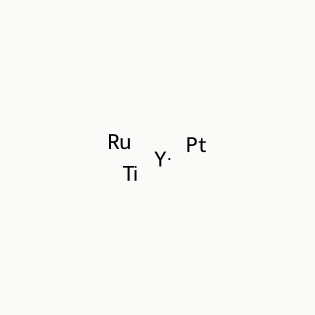 [Pt].[Ru].[Ti].[Y]